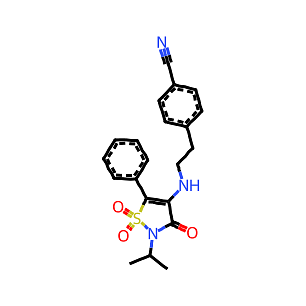 CC(C)N1C(=O)C(NCCc2ccc(C#N)cc2)=C(c2ccccc2)S1(=O)=O